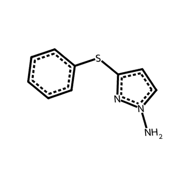 Nn1ccc(Sc2ccccc2)n1